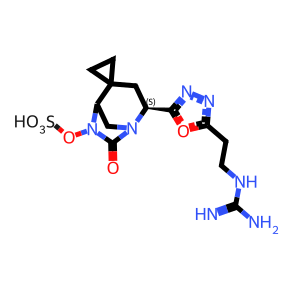 N=C(N)NCCc1nnc([C@@H]2CC3(CC3)C3CN2C(=O)N3OS(=O)(=O)O)o1